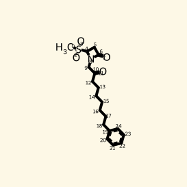 CS(=O)(=O)C1CC(=O)N1CC(=O)CCCCCCCc1ccccc1